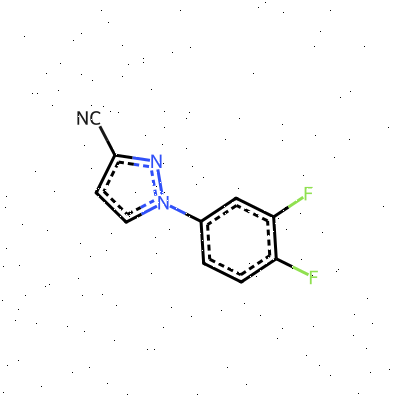 N#Cc1ccn(-c2ccc(F)c(F)c2)n1